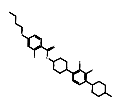 CCCCOc1ccc(C(=O)OC2CCC(c3ccc(C4CCC(C)CC4)c(F)c3F)CC2)c(F)c1